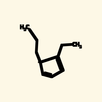 CCC[C]1C=CC=C1CC